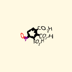 O=Ic1ccc(C(=O)O)c(C(=O)O)c1S(=O)(=O)O